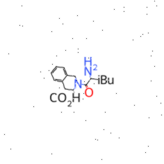 CCC(C)C(N)C(=O)N1Cc2ccccc2C[C@H]1C(=O)O